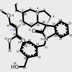 CC[C@H]1CN2CC[C@]3(C(=O)N(Cc4cccc(CO)c4)c4ccccc43)C2C[C@@H]1/C(=C\OC)C(=O)OC